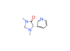 CN1CC(=O)N(C)C1.c1ccncc1